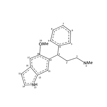 CNCCC(c1ccccc1)c1cc2[nH]ccc2cc1OC